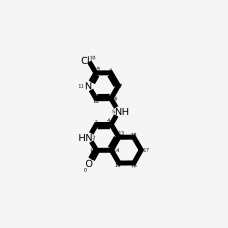 O=c1[nH]cc(Nc2ccc(Cl)nc2)c2c1CCCC2